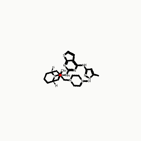 Cc1cc(Nc2nc(N[C@@H]3C[C@H]4CCC[C@@H](C3)N4C(O)CN3CCN(C)CC3)nc3sccc23)n[nH]1